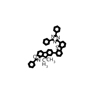 CC1(C)c2cc(-c3cccc4c3sc3c(-c5nc(-c6ccccc6)nc(-c6ccccc6)n5)cccc34)ccc2-c2ccc3oc(-c4ccccc4)nc3c21